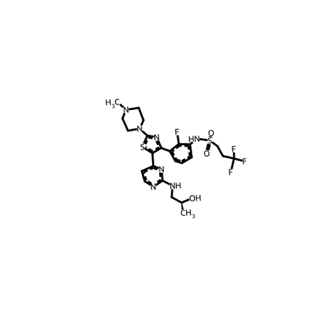 C[C@H](O)CNc1nccc(-c2sc(N3CCN(C)CC3)nc2-c2cccc(NS(=O)(=O)CCC(F)(F)F)c2F)n1